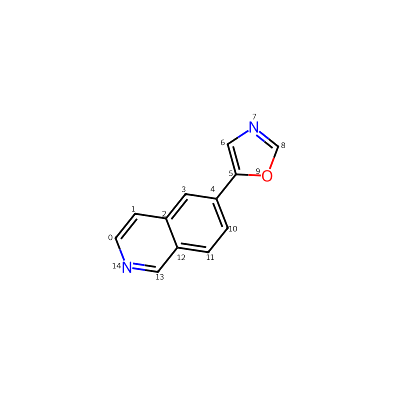 c1cc2cc(-c3cnco3)ccc2cn1